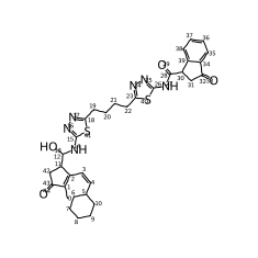 CC1=C(/C=C\C2CCCCC2)C(C(O)Nc2nnc(CCCCc3nnc(NC(=O)C4CC(=O)c5ccccc54)s3)s2)CC1=O